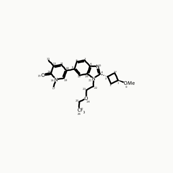 CO[C@H]1C[C@H](c2nc3ccc(-c4cc(C)c(=O)n(C)c4)cc3n2CCOCC(F)(F)F)C1